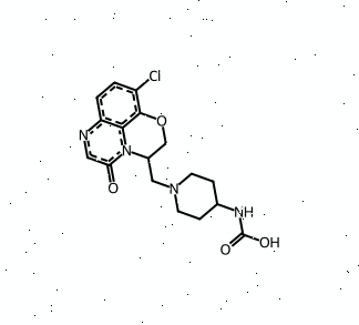 O=C(O)NC1CCN(CC2COc3c(Cl)ccc4ncc(=O)n2c34)CC1